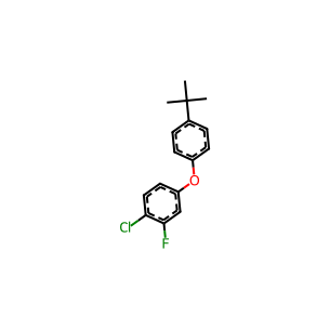 CC(C)(C)c1ccc(Oc2ccc(Cl)c(F)c2)cc1